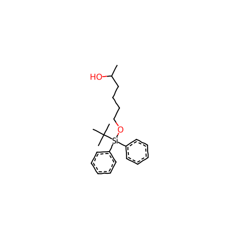 CC(O)CCCCO[Si](c1ccccc1)(c1ccccc1)C(C)(C)C